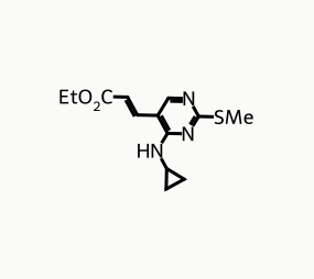 CCOC(=O)C=Cc1cnc(SC)nc1NC1CC1